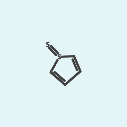 S=S1C=CC=C1